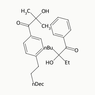 CCCCC(O)(CC)C(=O)c1ccccc1.CCCCCCCCCCCCc1ccc(C(=O)C(C)(C)O)cc1